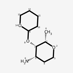 C[C@@H]1OCC[C@H](N)[C@@H]1OC1CCCCO1